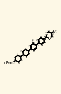 CCCCCC1CCC(C2CCC(c3ccc(-c4ccc(C5OCC(CC)CO5)cc4)c(F)c3)CC2)CC1